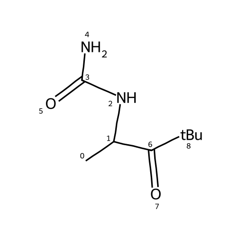 CC(NC(N)=O)C(=O)C(C)(C)C